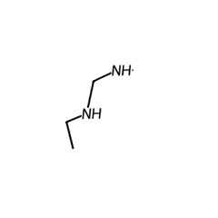 CCNC[NH]